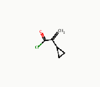 C=C(C(=O)Cl)C1CC1